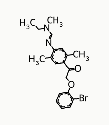 CCN(C)C=Nc1cc(C)c(C(=O)COc2ccccc2Br)cc1C